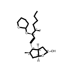 CCCC[C@@H](F)[C@@H](C=C[C@@H]1[C@H]2C[C@H](O)O[C@H]2C[C@H]1C)OC1CCCCO1